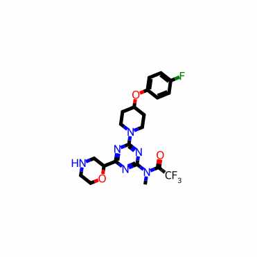 CN(C(=O)C(F)(F)F)c1nc(C2CNCCO2)nc(N2CCC(Oc3ccc(F)cc3)CC2)n1